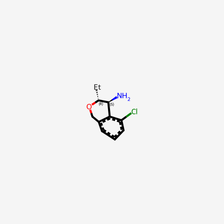 CC[C@H]1OCc2cccc(Cl)c2[C@@H]1N